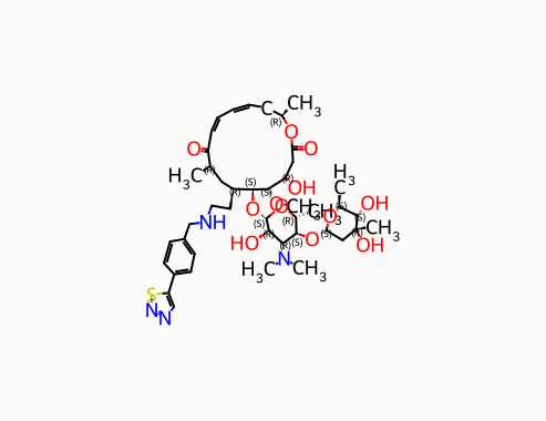 CO[C@@H]1[C@@H](O[C@@H]2O[C@H](C)[C@@H](O[C@H]3C[C@@](C)(O)[C@@H](O)[C@H](C)O3)[C@H](N(C)C)[C@H]2O)[C@@H](CCNCc2ccc(-c3cnns3)cc2)C[C@@H](C)C(=O)C=CC=CC[C@@H](C)OC(=O)C[C@H]1O